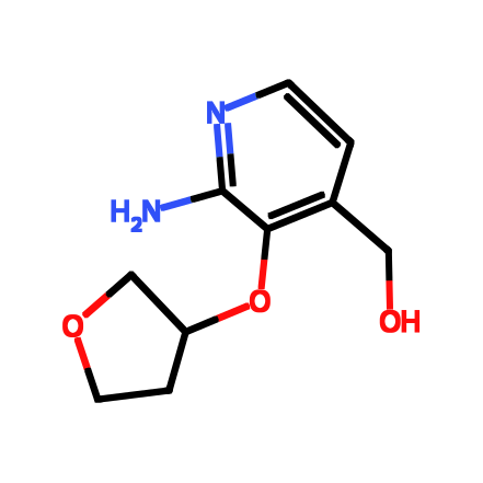 Nc1nccc(CO)c1OC1CCOC1